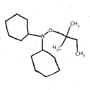 CCC(C)(C)ON(C1CCCCC1)C1CCCCC1